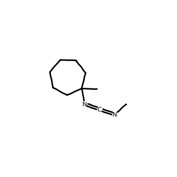 CN=C=NC1(C)CCCCCC1